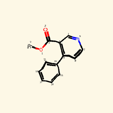 CC(C)OC(=O)c1cnccc1-c1ccccc1